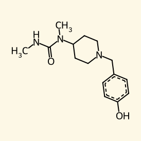 CNC(=O)N(C)C1CCN(Cc2ccc(O)cc2)CC1